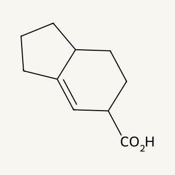 O=C(O)C1C=C2CCCC2CC1